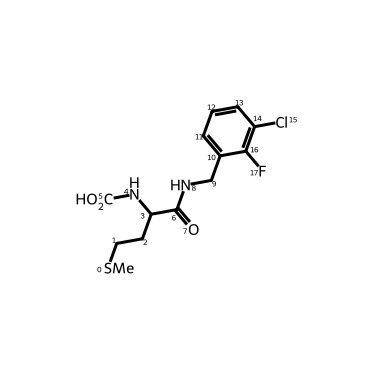 CSCCC(NC(=O)O)C(=O)NCc1cccc(Cl)c1F